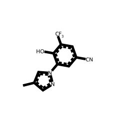 Cc1cnn(-c2cc(C#N)cc(C(F)(F)F)c2O)c1